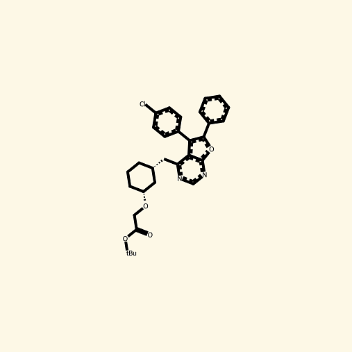 CC(C)(C)OC(=O)CO[C@@H]1CCC[C@H](Cc2ncnc3oc(-c4ccccc4)c(-c4ccc(Cl)cc4)c23)C1